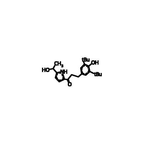 CC(O)c1ccc(C(=O)CCc2cc(C(C)(C)C)c(O)c(C(C)(C)C)c2)[nH]1